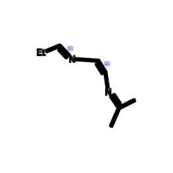 CC/C=N/C=C\N=C(C)C